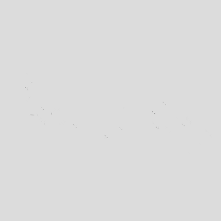 C#Cc1c(F)ccc2cc(O)cc(-c3ncc4c(N5CCOCC5)nc(OCC5(CN6CCN(CC7CCN(c8ccc9c(c8)n(C)c(=O)n9C8CCC(=O)NC8=O)CC7)CC6)CC5)nc4c3F)c12